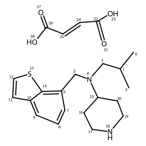 CC(C)CN(Cc1cccc2ccsc12)C1CCNCC1.O=C(O)C=CC(=O)O